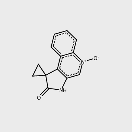 O=C1Nc2c[n+]([O-])c3ccccc3c2C12CC2